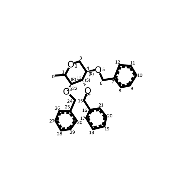 CC1OC[C@@H](OCc2ccccc2)[C@H](OCc2ccccc2)[C@@H]1OCc1ccccc1